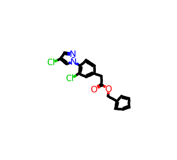 O=C(Cc1ccc(-n2cc(Cl)cn2)c(Cl)c1)OCc1ccccc1